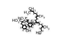 CC(C)=CCCC(C)=CCCC(C)=CCCC(C)=CCO.COC(C)=O.O=C(O)C(=O)Cc1ccc(O)cc1.O=C(O)C=Cc1ccccc1